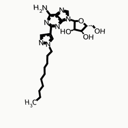 CCCCCCCCCCn1cc(-c2nc(N)c3ncn(C4O[C@H](CO)[C@@H](O)[C@H]4O)c3n2)cn1